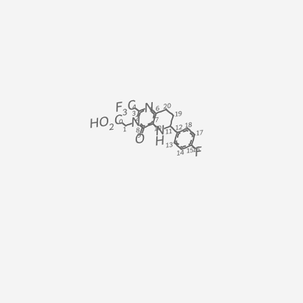 O=C(O)Cn1c(C(F)(F)F)nc2c(c1=O)NC(c1ccc(F)cc1)CC2